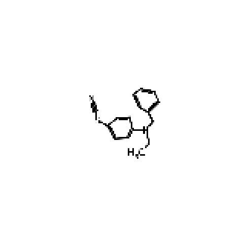 CCN(Cc1ccccc1)c1ccc(SC#N)cc1